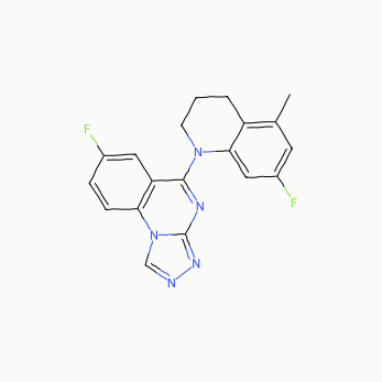 Cc1cc(F)cc2c1CCCN2c1nc2nncn2c2ccc(F)cc12